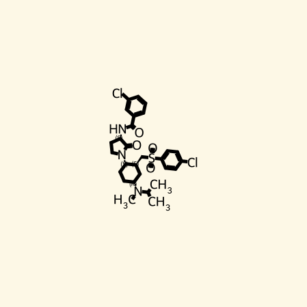 CC(C)N(C)[C@@H]1CC[C@H](N2CC[C@H](NC(=O)c3cccc(Cl)c3)C2=O)[C@@H](CS(=O)(=O)c2ccc(Cl)cc2)C1